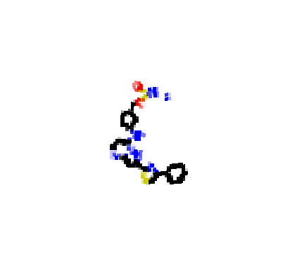 NS(=O)OCC1CC[C@H](Nc2ccnc3cc(-c4nc(-c5ccccc5)cs4)nn23)C1